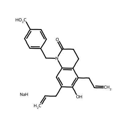 C=CCc1cc2c(c(CC=C)c1O)CCC(=O)N2Cc1ccc(C(=O)O)cc1.[NaH]